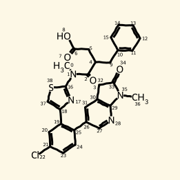 CN(C(=O)C(CC(=O)O)Cc1ccccc1)c1nc(-c2cc(Cl)ccc2-c2cnc3c(c2)CC(=O)N3C)cs1